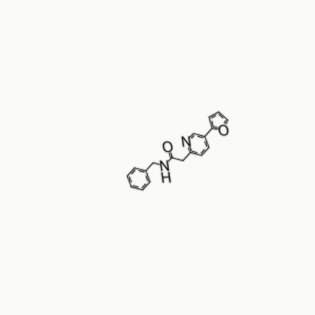 O=C(Cc1ccc(-c2ccco2)cn1)NCc1ccccc1